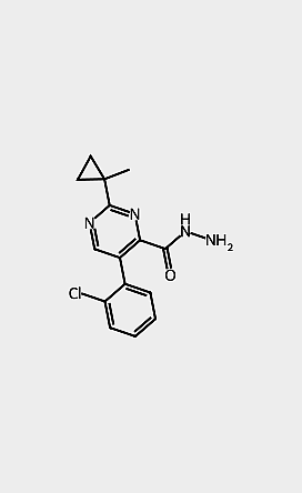 CC1(c2ncc(-c3ccccc3Cl)c(C(=O)NN)n2)CC1